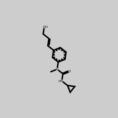 CN(C(=O)NC1CC1)c1cccc(/C=C/CO)c1